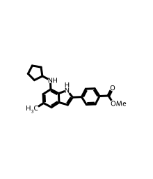 COC(=O)c1ccc(-c2cc3cc(C)cc(NC4CCCC4)c3[nH]2)cc1